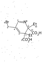 CCC1(C(=O)O)C=C(CBr)C=NC1(CC)C(=O)O